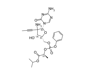 CC#CC1(N)[C@@H](O)[C@@H](COP(=O)(Oc2ccccc2)O[C@@H](C)C(=O)OC(C)C)O[C@H]1n1cnc(N)nc1=O